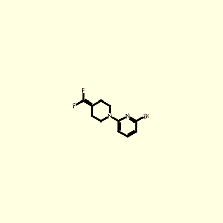 FC(F)=C1CCN(c2cccc(Br)n2)CC1